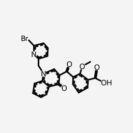 COc1c(C(=O)O)cccc1C(=O)c1cn(Cc2cccc(Br)n2)c2ccccc2c1=O